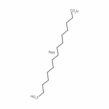 O=C(O)CCCCCCCCCCCCCS(=O)(=O)O.[NaH]